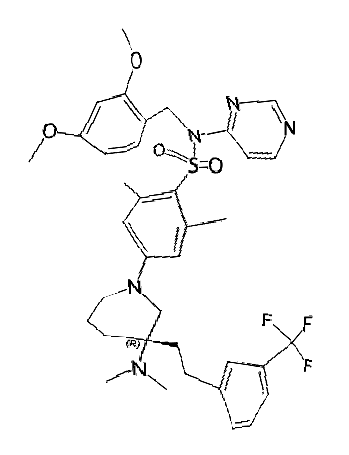 COc1ccc(CN(c2ccncn2)S(=O)(=O)c2c(C)cc(N3CCC[C@@](CCc4cccc(C(F)(F)F)c4)(N(C)C)C3)cc2C)c(OC)c1